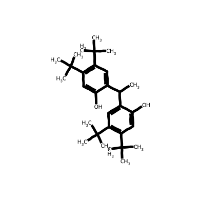 CC(c1cc(C(C)(C)C)c(C(C)(C)C)cc1O)c1cc(C(C)(C)C)c(C(C)(C)C)cc1O